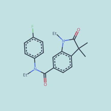 CCN(C(=O)c1ccc2c(c1)N(CC)C(=O)C2(C)C)c1ccc(F)cc1